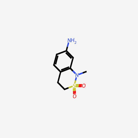 CN1c2cc(N)ccc2CCS1(=O)=O